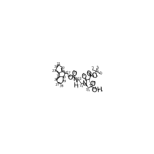 CC(C)(C)OC(=O)CC(=O)N(CCNC(=O)OCC1c2ccccc2-c2ccccc21)CC(=O)O